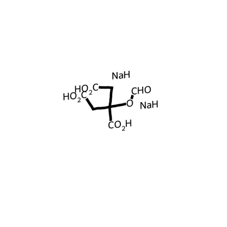 O=COC(CC(=O)O)(CC(=O)O)C(=O)O.[NaH].[NaH]